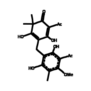 COc1c(C)c(O)c(CC2=C(O)C(C)(C)C(=O)C(C(C)=O)=C2O)c(O)c1C(C)=O